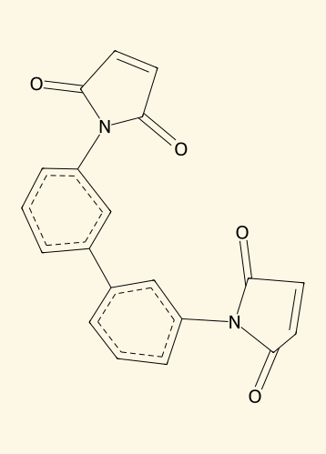 O=C1C=CC(=O)N1c1cccc(-c2cccc(N3C(=O)C=CC3=O)c2)c1